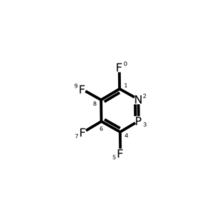 Fc1npc(F)c(F)c1F